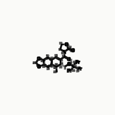 CC(C)[Si](OC[C@H]1C(C(=O)N2CCOC2=O)=Cc2cc3c(cc2[C@@H]1C)OCO3)(C(C)C)C(C)C